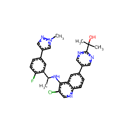 CC(Nc1c(Cl)cnc2ccc(-c3cnc(C(C)(C)O)nc3)cc12)c1cc(-c2cnn(C)c2)ccc1F